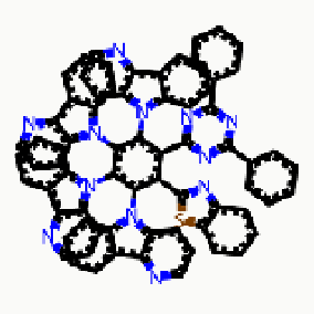 c1ccc(-c2nc(-c3ccccc3)nc(-c3c(-c4nc5ccccc5s4)c(-n4c5ccccc5c5ncccc54)c(-n4c5ccccc5c5ncccc54)c(-n4c5ccccc5c5ncccc54)c3-n3c4ccccc4c4ncccc43)n2)cc1